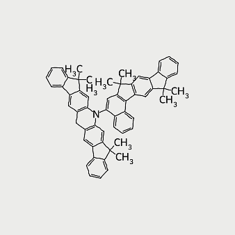 CC1(C)c2ccccc2-c2cc3c(cc21)-c1c(cc(N2c4cc5c(cc4Cc4cc6c(cc42)C(C)(C)c2ccccc2-6)-c2ccccc2C5(C)C)c2ccccc12)C3(C)C